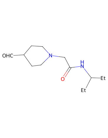 CCC(CC)NC(=O)CN1CCC(C=O)CC1